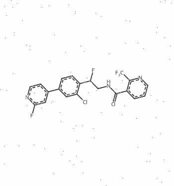 O=C(NCC(F)c1ccc(-c2ccnc(F)c2)cc1Cl)c1cccnc1C(F)(F)F